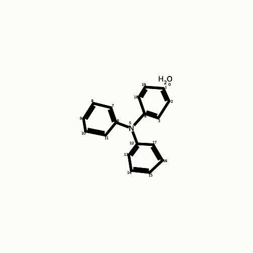 O.c1ccc(N(c2ccccc2)c2ccccc2)cc1